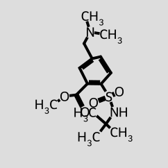 COC(=O)c1cc(CN(C)C)ccc1S(=O)(=O)NC(C)(C)C